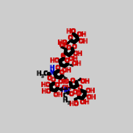 CC(=O)N[C@H]1[C@H](OC[C@H]2O[C@@H](O[C@H]3[C@@H](O)[C@@H](CO)O[C@H](O[C@@H]4[C@H](O)[C@@H](O)[C@H](O[C@H]5[C@H](O)[C@@H](O)[C@H](O)O[C@@H]5CO)O[C@@H]4CO)[C@@H]3O)[C@H](NC(C)=O)[C@@H](O[C@@H]3O[C@H](CO)[C@H](O)[C@H](O)[C@H]3O)[C@H]2O)O[C@H](CO)[C@@H](O[C@@H]2O[C@H](CO)[C@H](O)[C@H](O)[C@H]2O)[C@@H]1O